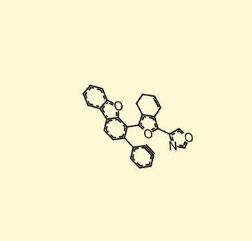 c1cccc(-c2ccc3c(oc4ccccc43)c2-c2oc(-c3cocn3)c3c2CCC=C3)c#1